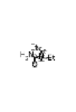 CC[Se]N([Se]CC)C(N)=O